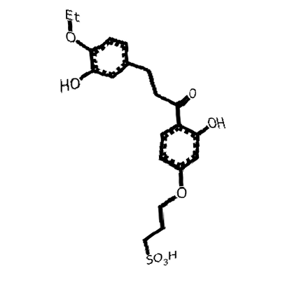 CCOc1ccc(CCC(=O)c2ccc(OCCCS(=O)(=O)O)cc2O)cc1O